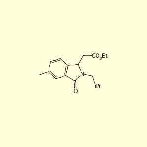 CCOC(=O)CC1c2ccc(C)cc2C(=O)N1CC(C)C